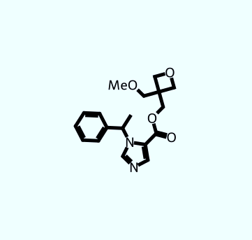 COCC1(COC(=O)c2cncn2C(C)c2ccccc2)COC1